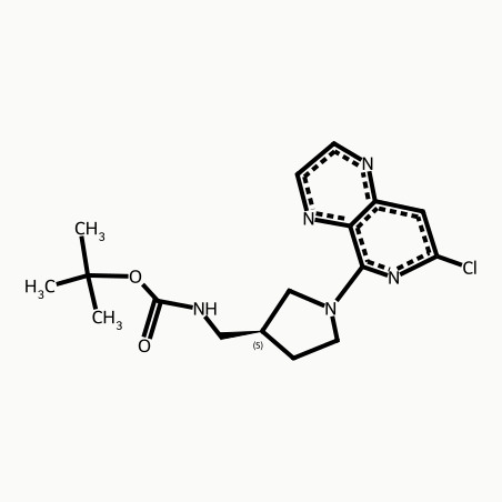 CC(C)(C)OC(=O)NC[C@@H]1CCN(c2nc(Cl)cc3nccnc23)C1